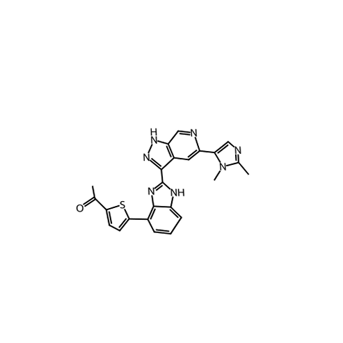 CC(=O)c1ccc(-c2cccc3[nH]c(-c4n[nH]c5cnc(-c6cnc(C)n6C)cc45)nc23)s1